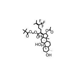 CC(=O)O[C@H]1C[C@@]2(C)[C@H](C[C@@H](O)[C@@H]3[C@@]4(C)CC[C@@H](O)[C@@H](C)C4CC[C@@]32C)C1=C(CCC(=C(C)C)C(F)(F)F)C(=O)OCOC(=O)C(C)(C)C